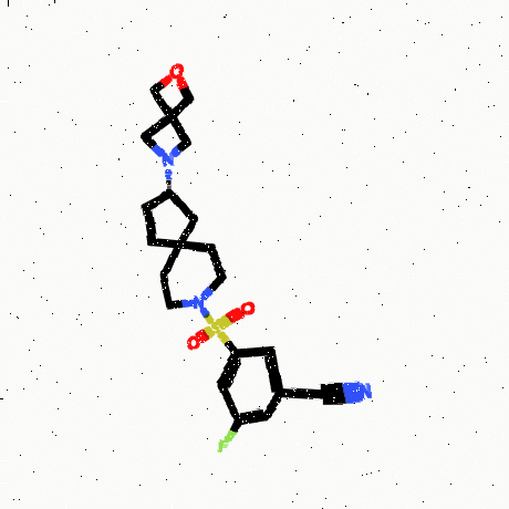 N#Cc1cc(F)cc(S(=O)(=O)N2CCC3(CC[C@H](N4CC5(COC5)C4)C3)CC2)c1